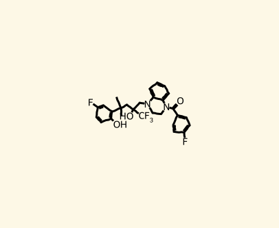 CC(C)(CC(O)(CN1CCN(C(=O)c2ccc(F)cc2)c2ccccc21)C(F)(F)F)c1cc(F)ccc1O